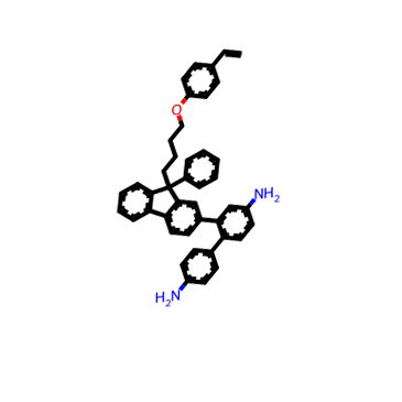 C=Cc1ccc(OCCCCC2(c3ccccc3)c3ccccc3-c3ccc(-c4cc(N)ccc4-c4ccc(N)cc4)cc32)cc1